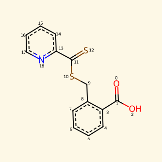 O=C(O)c1ccccc1CSC(=S)c1ccccn1